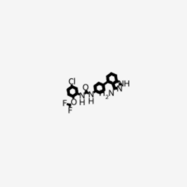 Nc1n[nH]c2cccc(-c3ccc(NC(=O)Nc4cc(Cl)ccc4OC(F)F)cc3)c12